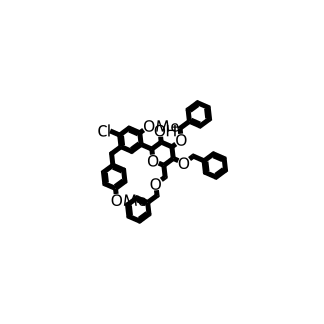 COc1ccc(Cc2cc(C3OC(COCc4ccccc4)C(OCc4ccccc4)C(OCc4ccccc4)C3O)c(OC)cc2Cl)cc1